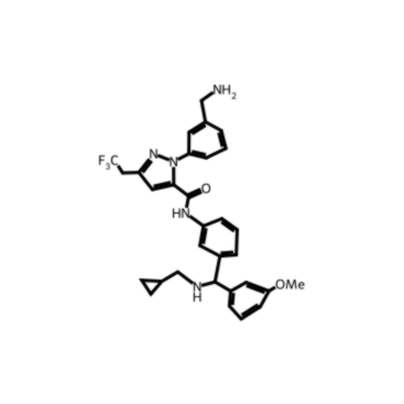 COc1cccc(C(NCC2CC2)c2cccc(NC(=O)c3cc(CC(F)(F)F)nn3-c3cccc(CN)c3)c2)c1